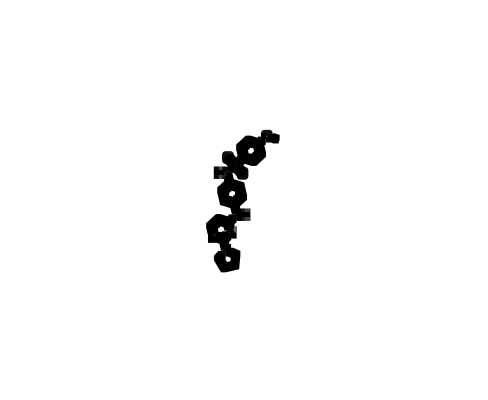 COc1ccc(S(=O)(=O)Nc2ccc(Nc3ccnc(N4CCCC4)n3)cc2)cc1